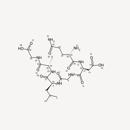 CC(C)C[C@H](NC(=O)CNC(=O)[C@H](CC(=O)O)NC(=O)[C@@H](N)CCC(N)=O)C(=O)N[C@@H](C)C(=O)NCC(=O)O